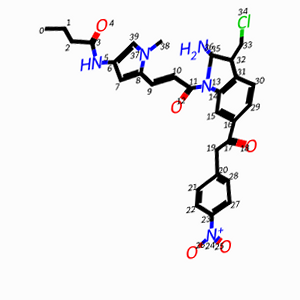 CCCC(=O)Nc1cc(C=CC(=O)N2c3cc(C(=O)Cc4ccc([N+](=O)[O-])cc4)ccc3C(CCl)C2N)n(C)c1